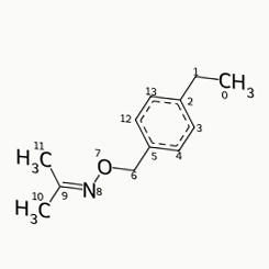 CCc1ccc(CON=C(C)C)cc1